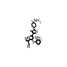 Cc1c(-c2cc(Sc3ccccc3N)c3c(C#N)cnn3c2)cnn1[C@H]1CC[C@@](C)(N)CC1